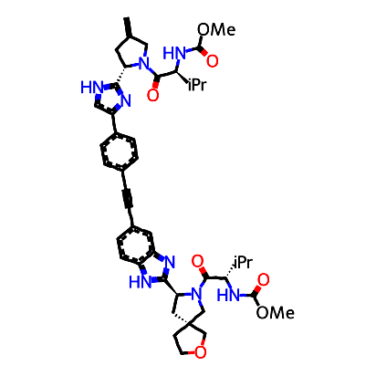 C=C1C[C@@H](c2nc(-c3ccc(C#Cc4ccc5[nH]c([C@@H]6C[C@]7(CCOC7)CN6C(=O)[C@@H](NC(=O)OC)C(C)C)nc5c4)cc3)c[nH]2)N(C(=O)[C@@H](NC(=O)OC)C(C)C)C1